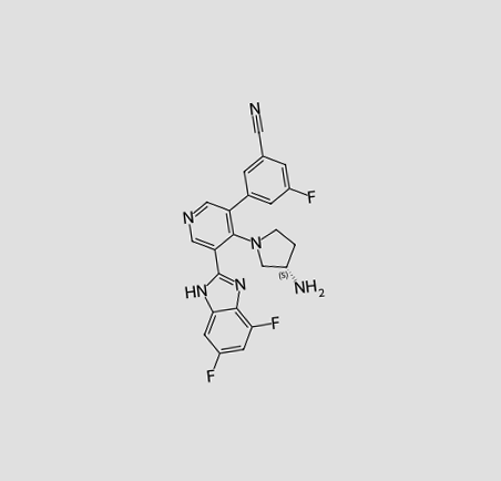 N#Cc1cc(F)cc(-c2cncc(-c3nc4c(F)cc(F)cc4[nH]3)c2N2CC[C@H](N)C2)c1